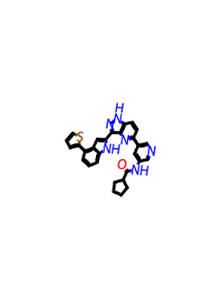 O=C(Nc1cncc(-c2ccc3[nH]nc(-c4cc5c(-c6cccs6)cccc5[nH]4)c3n2)c1)C1CCCC1